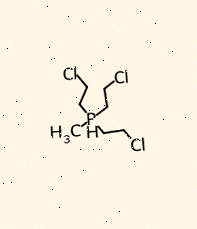 C[PH](CCCl)(CCCl)CCCl